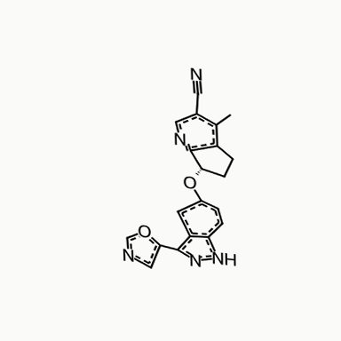 Cc1c(C#N)cnc2c1CC[C@@H]2Oc1ccc2[nH]nc(-c3cnco3)c2c1